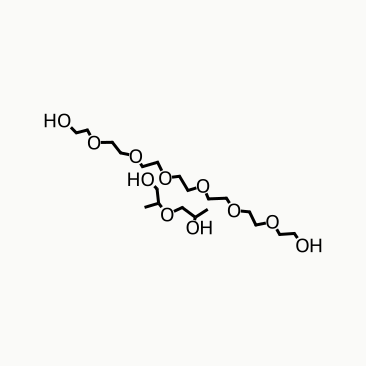 CC(O)COC(C)CO.OCCOCCOCCOCCOCCOCCOCCO